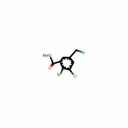 COC(=O)c1cc(CBr)cc(Cl)c1Br